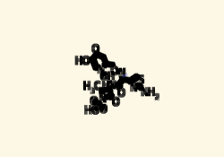 C[C@H]1[C@H](NC(=O)/C(=N\OCC2CC(=O)C(O)=CN2O)c2csc(N)n2)C(=O)N1S(=O)(=O)O